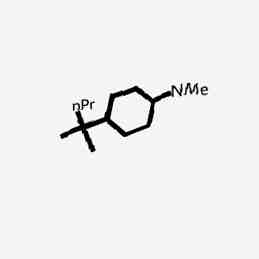 CCCC(C)(C)C1CCC(NC)CC1